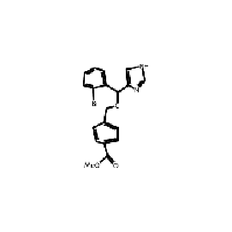 COC(=O)c1ccc(COC(c2c[nH]cn2)c2ccccc2Br)cc1